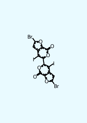 O=c1oc(-c2oc(=O)c3oc(Br)cc3c2I)c(I)c2cc(Br)oc12